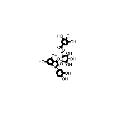 O=C(OC[C@H]1O[C@@H](O[C@H]2C(=O)c3c(O)cc(O)cc3O[C@@H]2c2ccc(O)c(O)c2)[C@H](O)[C@@H](O)[C@@H]1O)c1cc(O)c(O)c(O)c1